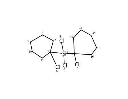 ClC1([Si](Cl)(Cl)C2(Cl)CCCCC2)CCCCC1